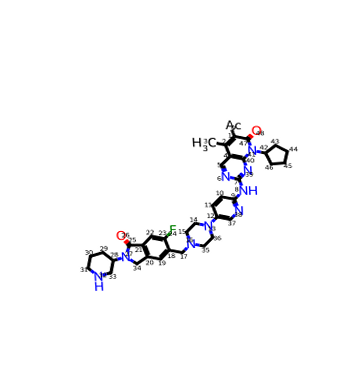 CC(=O)c1c(C)c2cnc(Nc3ccc(N4CCN(Cc5cc6c(cc5F)C(=O)N(C5CCCNC5)C6)CC4)cn3)nc2n(C2CCCC2)c1=O